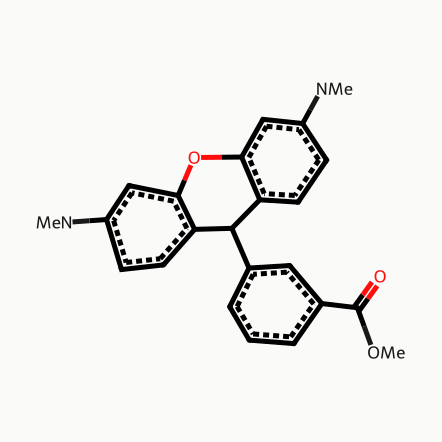 CNc1ccc2c(c1)Oc1cc(NC)ccc1C2c1cccc(C(=O)OC)c1